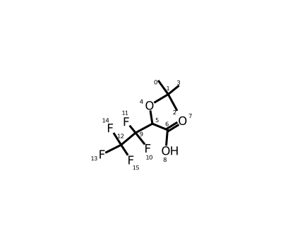 CC(C)(C)OC(C(=O)O)C(F)(F)C(F)(F)F